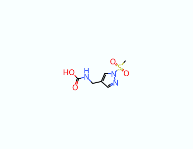 CS(=O)(=O)n1cc(CNC(=O)O)cn1